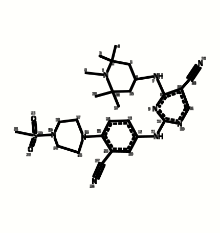 CN1C(C)(C)CC(Nc2nc(Nc3ccc(N4CCN(S(C)(=O)=O)CC4)c(C#N)c3)ncc2C#N)CC1(C)C